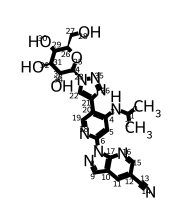 CC(C)Nc1cc(-n2ncc3cc(C#N)cnc32)ncc1-c1cn([C@@H]2O[C@H](CO)C(O)[C@H](O)[C@H]2O)nn1